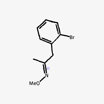 CO/N=C(\C)Cc1ccccc1Br